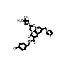 CC1(C)CN(C(=O)Cn2c(=O)c(C(=O)NCc3ccc(Cl)cc3)cc3cc(Cn4ccnc4)cnc32)C1